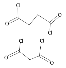 O=C(Cl)CC(=O)Cl.O=C(Cl)CCC(=O)Cl